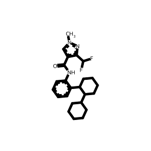 Cn1cc(C(=O)Nc2ccccc2C2CCCCC2C2CCCCC2)c(C(F)F)n1